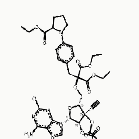 C#C[C@@]1(OC(C)=O)[C@@H](COC(Cc2ccc(N3CCCC3C(=O)OCC)cc2)(C(=O)OCC)C(=O)OCC)O[C@@H](n2cnc3c(N)nc(Cl)nc32)[C@@H]1OC(C)=O